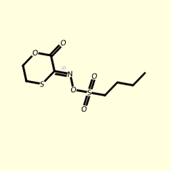 CCCCS(=O)(=O)O/N=C1\SCCOC1=O